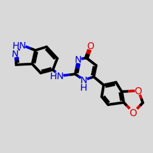 O=c1cc(-c2ccc3c(c2)OCO3)[nH]c(Nc2ccc3[nH]ncc3c2)n1